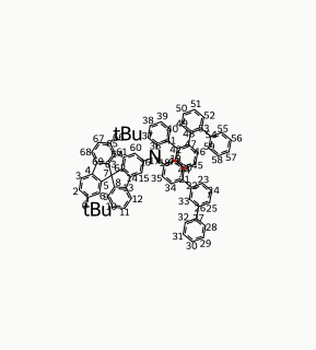 CC(C)(C)c1ccc2c(c1)C1(c3ccccc3-c3cc(N(c4ccc(-c5cccc(-c6ccccc6)c5)cc4)c4ccccc4-c4ccccc4-c4ccccc4-c4ccccc4)ccc31)c1cc(C(C)(C)C)ccc1-2